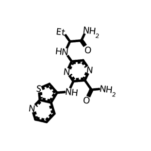 CCC(Nc1cnc(C(N)=O)c(Nc2csc3ncccc23)n1)C(N)=O